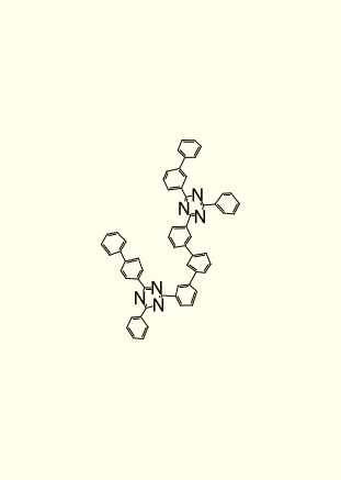 c1ccc(-c2ccc(-c3nc(-c4ccccc4)nc(-c4cccc(-c5cccc(-c6cccc(-c7nc(-c8ccccc8)nc(-c8cccc(-c9ccccc9)c8)n7)c6)c5)c4)n3)cc2)cc1